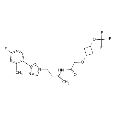 C=C(CCn1cnc(-c2ccc(F)cc2C)c1)NC(=O)CO[C@H]1C[C@@H](OC(F)(F)F)C1